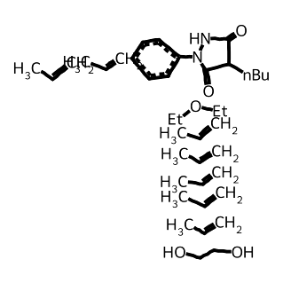 C=CC.C=CC.C=CC.C=CC.C=CC.C=CC.C=CC.CCCCC1C(=O)NN(c2ccccc2)C1=O.CCOCC.OCCO